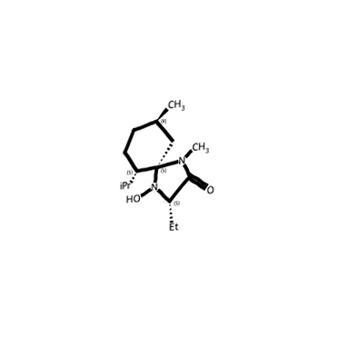 CC[C@H]1C(=O)N(C)[C@@]2(C[C@H](C)CC[C@H]2C(C)C)N1O